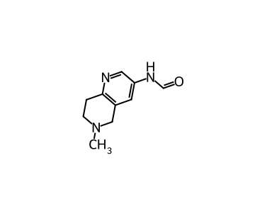 CN1CCc2ncc(NC=O)cc2C1